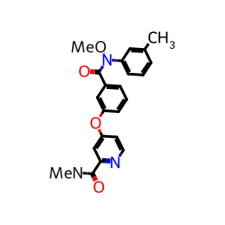 CNC(=O)c1cc(Oc2cccc(C(=O)N(OC)c3cccc(C)c3)c2)ccn1